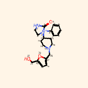 O=C1NCC[N+]1(c1ccccc1)C1CCN(Cc2ccc(CO)o2)CC1